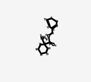 NC1(C(=O)OCC2=CCCC=C2)CCCCC1